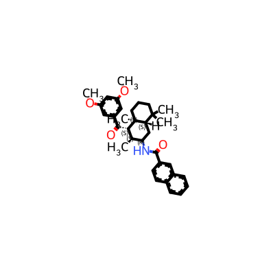 COc1cc(OC)cc(C(=O)[C@H]2[C@H](C)[C@H](NC(=O)c3ccc4ccccc4c3)C[C@H]3C(C)(C)CCC[C@]23C)c1